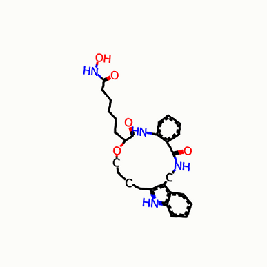 O=C(CCCCCC1OCCCCc2[nH]c3ccccc3c2CNC(=O)c2ccccc2NC1=O)NO